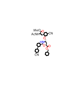 COC(=O)C(=Cc1ccc(C#N)cc1OC[C@H](CCC(=O)OCc1ccccc1)NC(=O)c1cccc(-c2ccc(C#N)cc2)c1)NC(C)=O